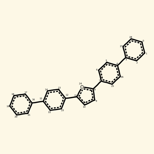 c1ccc(-c2ccc(-c3ccc(-c4ccc(-c5ccccc5)cc4)o3)cc2)cc1